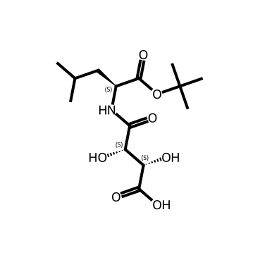 CC(C)C[C@H](NC(=O)[C@@H](O)[C@H](O)C(=O)O)C(=O)OC(C)(C)C